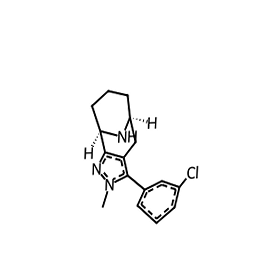 Cn1nc2c(c1-c1cccc(Cl)c1)C[C@@H]1CCC[C@H]2N1